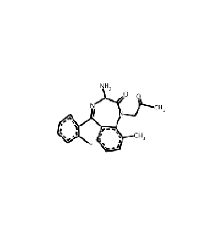 CC(=O)CN1C(=O)C(N)N=C(c2ccccc2F)c2cccc(C)c21